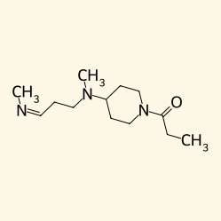 CCC(=O)N1CCC(N(C)CC/C=N\C)CC1